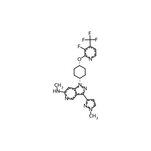 CNc1cc2c(cn1)c(-c1ccn(C)n1)nn2[C@H]1CC[C@@H](Oc2nccc(C(F)(F)F)c2F)CC1